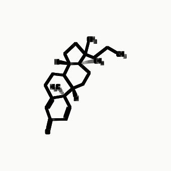 CCCC1(C)CC[C@H]2C3CCC4=CC(=O)C=C[C@]4(C)[C@H]3CC[C@@]21C